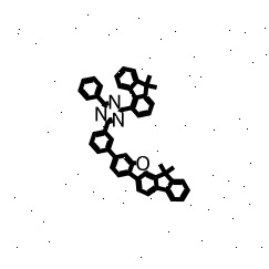 CC1(C)c2ccccc2-c2c(-c3nc(-c4ccccc4)nc(-c4cccc(-c5ccc6c(c5)oc5c7c(ccc56)-c5ccccc5C7(C)C)c4)n3)cccc21